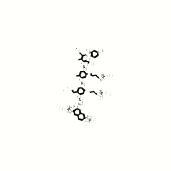 COc1ccc2c(c1)nc1c(C#N)c(C)c(N=Nc3cc(C)c(N=Nc4cc(CO)c(N=Nc5nc6c(S(=O)(=O)O)cc7ccc(S(=O)(=O)O)cc7c6s5)cc4SCCCS(=O)(=O)O)cc3OCCCS(=O)(=O)O)c(O)n12